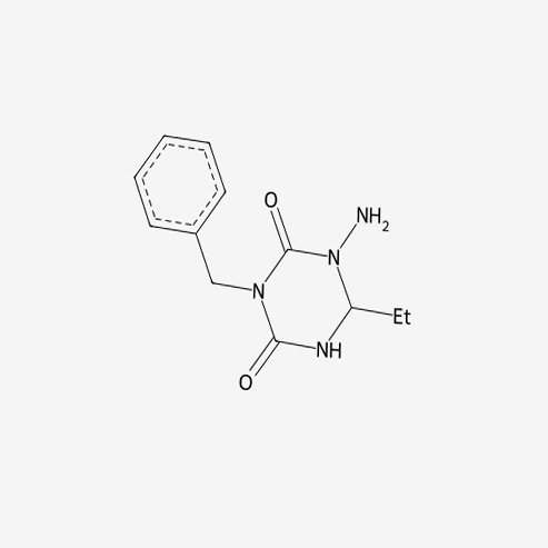 CCC1NC(=O)N(Cc2ccccc2)C(=O)N1N